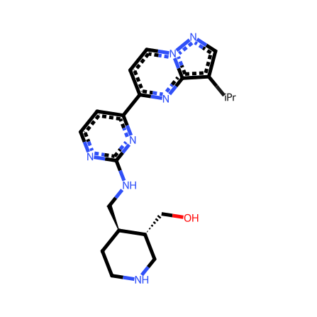 CC(C)c1cnn2ccc(-c3ccnc(NC[C@@H]4CCNC[C@H]4CO)n3)nc12